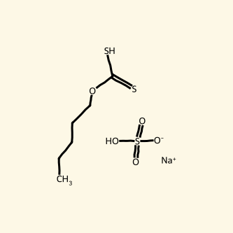 CCCCCOC(=S)S.O=S(=O)([O-])O.[Na+]